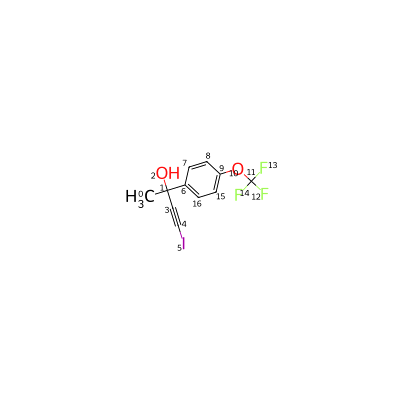 CC(O)(C#CI)c1ccc(OC(F)(F)F)cc1